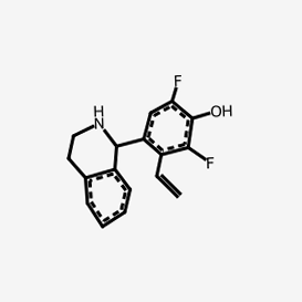 C=Cc1c(C2NCCc3ccccc32)cc(F)c(O)c1F